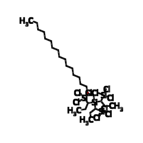 CCCCCCCCCCCCCCCCCC[Si](C(CC)[Si](Cl)(Cl)Cl)(C(CC)[Si](Cl)(Cl)Cl)C(CC)[Si](Cl)(Cl)Cl